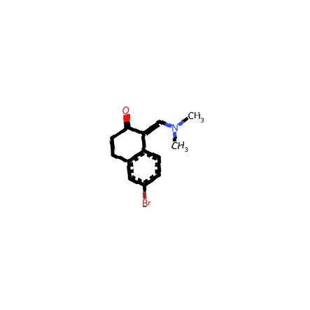 CN(C)/C=C1/C(=O)CCc2cc(Br)ccc21